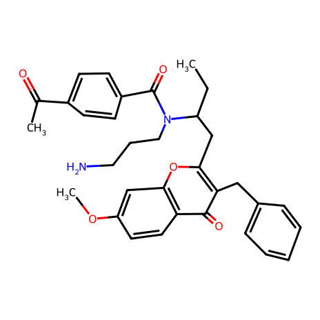 CCC(Cc1oc2cc(OC)ccc2c(=O)c1Cc1ccccc1)N(CCCN)C(=O)c1ccc(C(C)=O)cc1